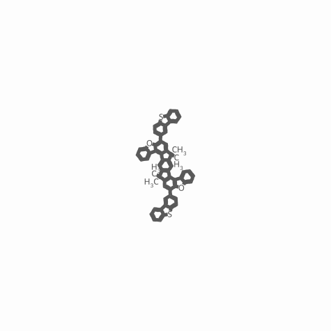 CC1(C)c2cc3c(cc2-c2c1cc(-c1ccc4sc5ccccc5c4c1)c1oc4ccccc4c21)C(C)(C)c1cc(-c2ccc4sc5ccccc5c4c2)c2oc4ccccc4c2c1-3